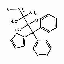 CCCC[Si](C)(C(C)(C)[SiH2]Cl)[Zr]([C]1=CC=CC1)([c]1ccccc1)[c]1ccccc1